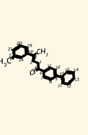 C/C(=C\CC(=O)c1ccc(-c2ccccc2)cc1)c1cccc(C)c1